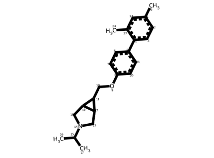 Cc1ccc(-c2ccc(OCC3C4CN(C(C)C)CC34)cc2)c(C)c1